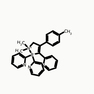 Cc1ccc(C2=C(c3ccccn3)[B-](c3ccccn3)(c3ccccn3)[N+](C)(C)C2)cc1